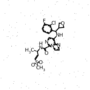 C[C@H](/C=C/S(C)(=O)=O)NC(=O)c1ncc(NC(c2cccc(F)c2Cl)C2COC2)c2nccn12